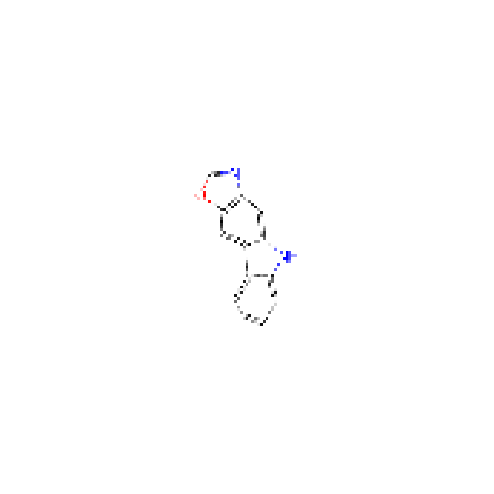 c1ccc2c(c1)[nH]c1cc3ncoc3cc12